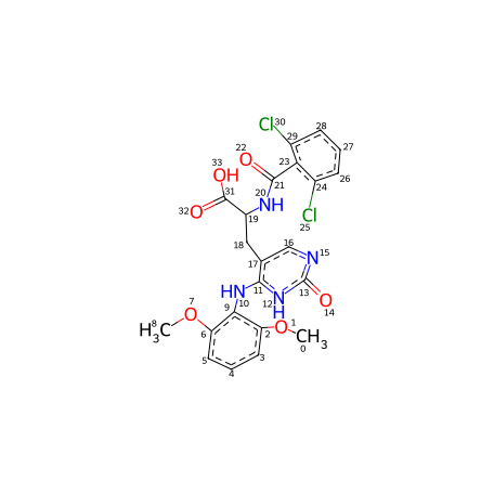 COc1cccc(OC)c1Nc1[nH]c(=O)ncc1CC(NC(=O)c1c(Cl)cccc1Cl)C(=O)O